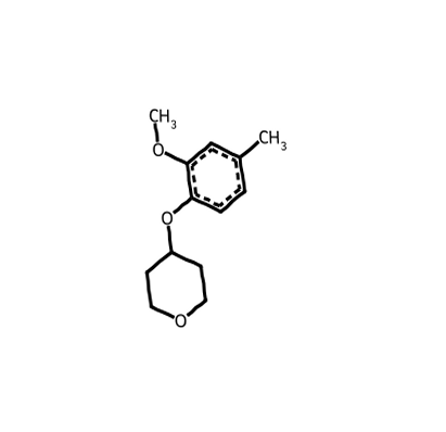 COc1cc(C)ccc1OC1CCOCC1